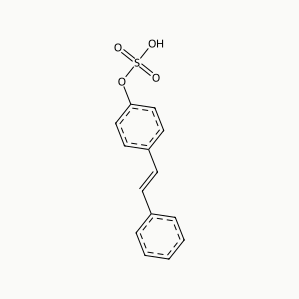 O=S(=O)(O)Oc1ccc(C=Cc2ccccc2)cc1